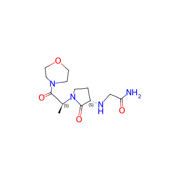 C[C@@H](C(=O)N1CCOCC1)N1CC[C@H](NCC(N)=O)C1=O